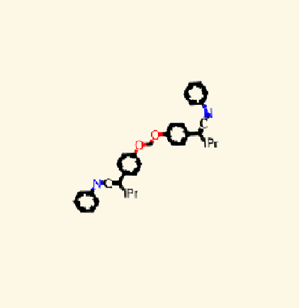 CC(C)C(=C=Nc1ccccc1)c1ccc(OCOc2ccc(C(=C=Nc3ccccc3)C(C)C)cc2)cc1